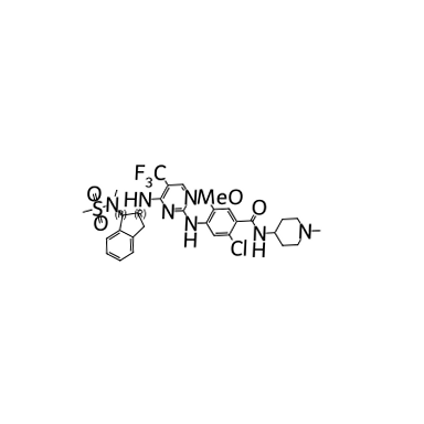 COc1cc(C(=O)NC2CCN(C)CC2)c(Cl)cc1Nc1ncc(C(F)(F)F)c(N[C@@H]2Cc3ccccc3[C@H]2N(C)S(C)(=O)=O)n1